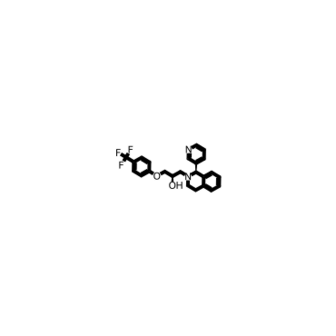 O[C@@H](COc1ccc(C(F)(F)F)cc1)CN1CCc2ccccc2[C@@H]1c1cccnc1